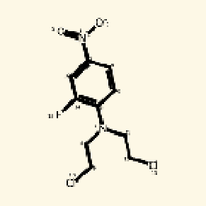 O=[N+]([O-])c1ccc(N(CCCl)CCCl)c(F)c1